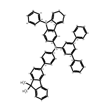 CC1(C)c2ccccc2-c2cc(-c3ccc(N(c4cc(-c5ccccc5)cc(-c5ccccc5)c4)c4ccc5c(c4)c4c(n5-c5ccccc5)=CCCC=4)cc3)ccc21